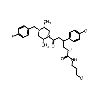 C[C@@H]1CN(C(=O)CC(CNC(=O)NCCCCl)c2ccc(Cl)cc2)[C@@H](C)CN1Cc1ccc(F)cc1